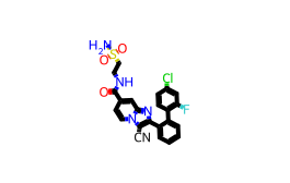 N#Cc1c(-c2ccccc2-c2ccc(Cl)cc2F)nc2cc(C(=O)NCCS(N)(=O)=O)ccn12